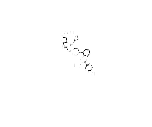 CC1(c2cnc(Cl)cn2)Oc2cccc(C3CCN(Cc4nc5sc(C(=O)O)cc5n4CC4CCO4)CC3)c2O1